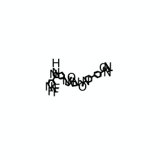 Cc1noc(-c2ccc(C3=CCN(C(=O)CN4CCC5(CCN(c6ccc7[nH]nc(-c8ccnc(C(F)(F)F)c8)c7c6)C5=O)C4)CC3)cc2)n1